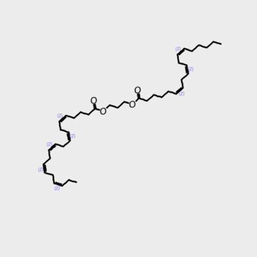 CC/C=C\C/C=C\C/C=C\C/C=C\C/C=C\CCCC(=O)OCCCOC(=O)CCCC/C=C\C/C=C\C/C=C\CCCCC